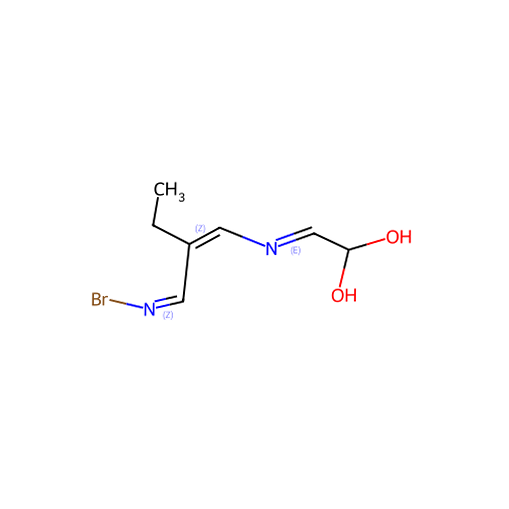 CCC(/C=N\Br)=C/N=C/C(O)O